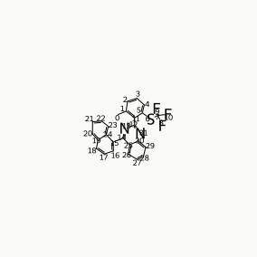 Cc1cccc(SC(F)(F)F)c1-c1nc(-c2cccc3ccccc23)c2ccccc2n1